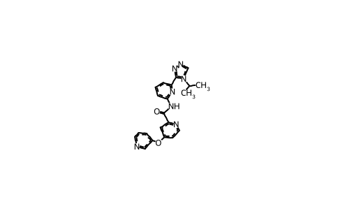 CC(C)n1cnnc1-c1cccc(NC(=O)c2cc(Oc3cccnc3)ccn2)n1